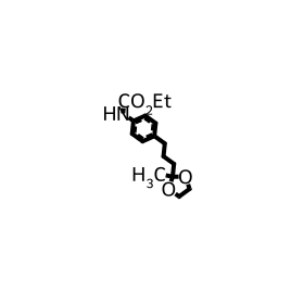 CCOC(=O)Nc1ccc(CCCC2(C)OCCO2)cc1